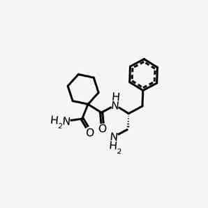 NC[C@@H](Cc1ccccc1)NC(=O)C1(C(N)=O)CCCCC1